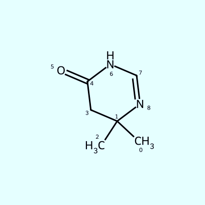 CC1(C)CC(=O)NC=N1